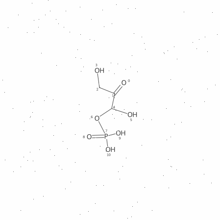 O=C(CO)C(O)OP(=O)(O)O